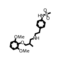 COc1cccc(OC)c1OCC(C)CNCCc1ccc(NS(C)(=O)=O)cc1